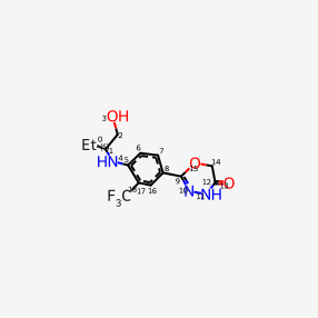 CC[C@@H](CO)Nc1ccc(C2=NNC(=O)CO2)cc1C(F)(F)F